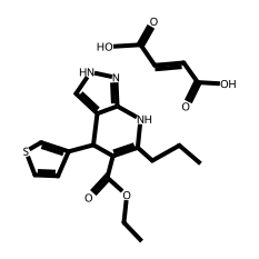 CCCC1=C(C(=O)OCC)C(c2ccsc2)c2c[nH]nc2N1.O=C(O)C=CC(=O)O